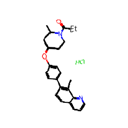 CCC(=O)N1CCC(Oc2ccc(-c3ccc4cccnc4c3C)cc2)CC1C.Cl